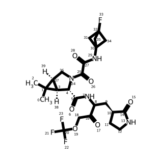 CC1(C)[C@@H]2[C@@H](C(=O)NC(C[C@@H]3CCNC3=O)C(=O)COC(F)(F)F)N(C(=O)C(=O)NC34CC(F)(C3)C4)C[C@@H]21